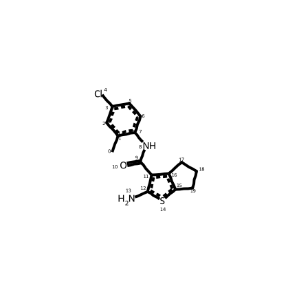 Cc1cc(Cl)ccc1NC(=O)c1c(N)sc2c1CCC2